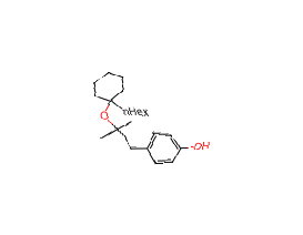 CCCCCCC1(OC(C)(C)Cc2ccc(O)cc2)CCCCC1